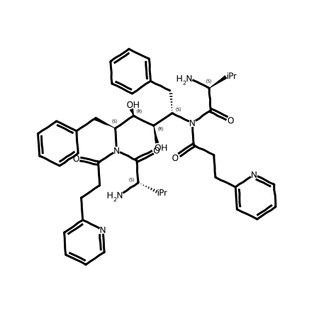 CC(C)[C@H](N)C(=O)N(C(=O)CCc1ccccn1)[C@@H](Cc1ccccc1)[C@@H](O)[C@H](O)[C@H](Cc1ccccc1)N(C(=O)CCc1ccccn1)C(=O)[C@@H](N)C(C)C